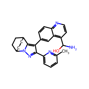 Cc1cccc(-c2nn3c(c2-c2ccc4nccc(C(N)O)c4c2)C2CCC3CC2)n1